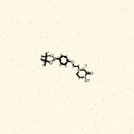 CCN1CCN(CCOc2ccc(B3OC(C)(C)C(C)(C)O3)cc2)[C@H](C)C1=O